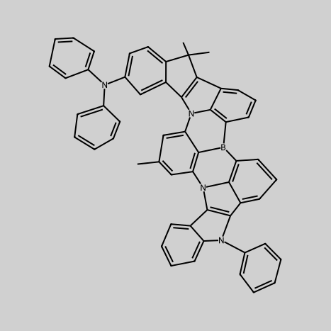 Cc1cc2c3c(c1)-n1c4c(cccc4c4c1c1ccccc1n4-c1ccccc1)B3c1cccc3c4c(n-2c13)-c1cc(N(c2ccccc2)c2ccccc2)ccc1C4(C)C